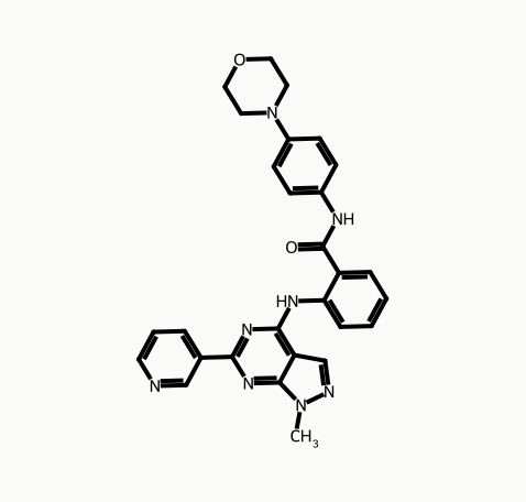 Cn1ncc2c(Nc3ccccc3C(=O)Nc3ccc(N4CCOCC4)cc3)nc(-c3cccnc3)nc21